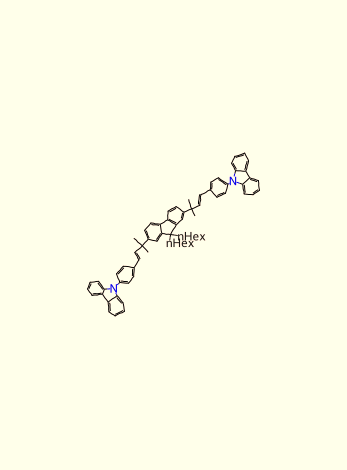 CCCCCCC1(CCCCCC)c2cc(C(C)(C)/C=C/c3ccc(-n4c5ccccc5c5ccccc54)cc3)ccc2-c2ccc(C(C)(C)/C=C/c3ccc(-n4c5ccccc5c5ccccc54)cc3)cc21